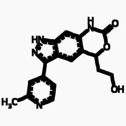 Cc1cc(-c2n[nH]c3cc4c(cc23)C(CCO)OC(=O)N4)ccn1